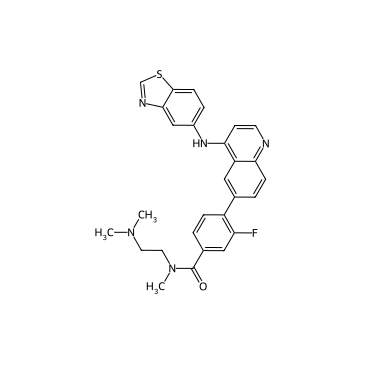 CN(C)CCN(C)C(=O)c1ccc(-c2ccc3nccc(Nc4ccc5scnc5c4)c3c2)c(F)c1